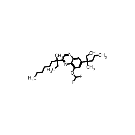 CCCCCCC(C)(CC)c1cnc2cc(C(C)(CC)CCC)cc(OC(F)F)c2n1